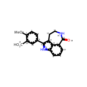 COc1ccc(-c2[nH]c3cccc4c3c2CCNC4=O)cc1C(=O)O